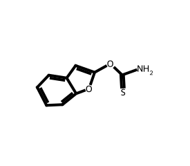 NC(=S)Oc1cc2ccccc2o1